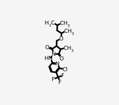 CC(C)CC(C)OCC1C(=O)N(Nc2ccc(C(F)(F)F)c(Cl)n2)C(=O)C1C